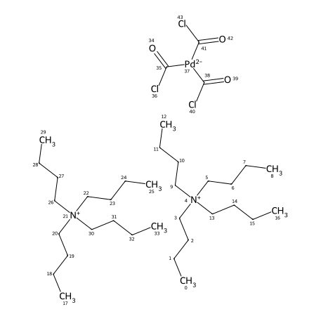 CCCC[N+](CCCC)(CCCC)CCCC.CCCC[N+](CCCC)(CCCC)CCCC.O=[C](Cl)[Pd-2]([C](=O)Cl)[C](=O)Cl